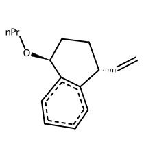 C=C[C@H]1CC[C@H](OCCC)c2ccccc21